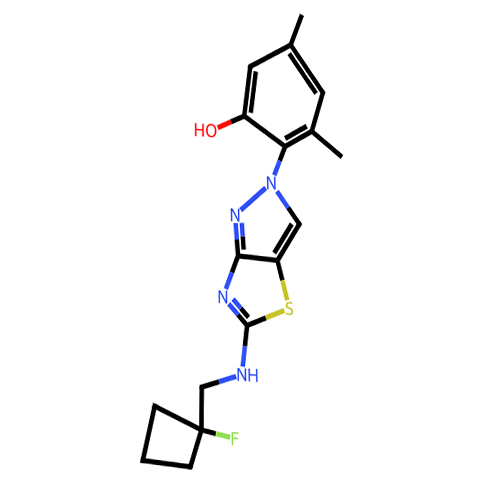 Cc1cc(C)c(-n2cc3sc(NCC4(F)CCC4)nc3n2)c(O)c1